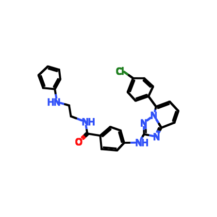 O=C(NCCNc1ccccc1)c1ccc(Nc2nc3cccc(-c4ccc(Cl)cc4)n3n2)cc1